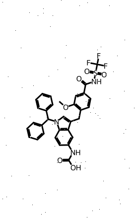 COc1cc(C(=O)NS(=O)(=O)C(F)(F)F)ccc1Cc1cn(C(c2ccccc2)c2ccccc2)c2ccc(NC(=O)O)cc12